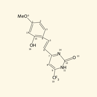 COc1ccc(C=Cc2cc(C(F)(F)F)[nH]c(=O)n2)c(O)c1